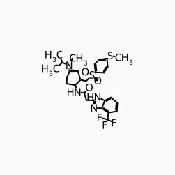 CSc1ccc(S(=O)(=O)CC2C[C@H](N(C)C(C)C)CCC2NC(=O)Cc2nc3c(C(F)(F)F)cccc3[nH]2)cc1